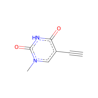 C#Cc1cn(C)c(=O)[nH]c1=O